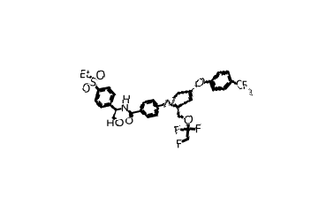 CCS(=O)(=O)c1ccc([C@H](CO)NC(=O)c2ccc(N3C[C@H](Oc4ccc(C(F)(F)F)cc4)C[C@H]3COC(F)(F)CF)cc2)cc1